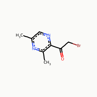 Cc1cnc(C(=O)CBr)c(C)n1